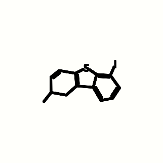 CC1C=Cc2sc3c(I)cccc3c2C1